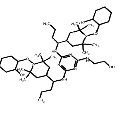 CCCC(Nc1nc(NCCO)nc(NC(CCC)C2CC(C)(C)N(OC3CCCCC3O)C(C)(C)C2)n1)C1CC(C)(C)N(OC2CCCCC2O)C(C)(C)C1